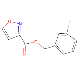 O=C(OCc1cccc(F)c1)c1ccon1